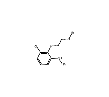 CCCNc1cccc(Cl)c1OCCOCC